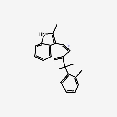 C=C(/C=C\c1c(C)[nH]c2ccccc12)C(C)(C)c1ccccc1C